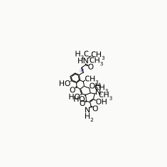 CC1c2c(/C=C/C(=O)NC(C)(C)C)ccc(O)c2C(=O)C2=C(O)C3(O)C(=O)C(C(N)=O)=C(O)C(N(C)C)C3C(O)C21